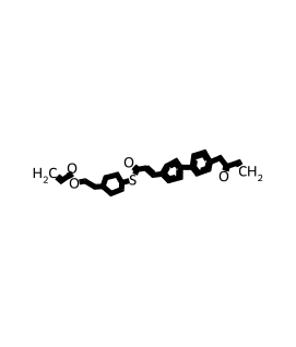 C=CC(=O)Cc1ccc(-c2ccc(/C=C/C(=O)SC3CCC(CCOC(=O)C=C)CC3)cc2)cc1